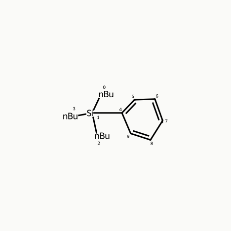 CCCC[Si](CCCC)(CCCC)c1cc[c]cc1